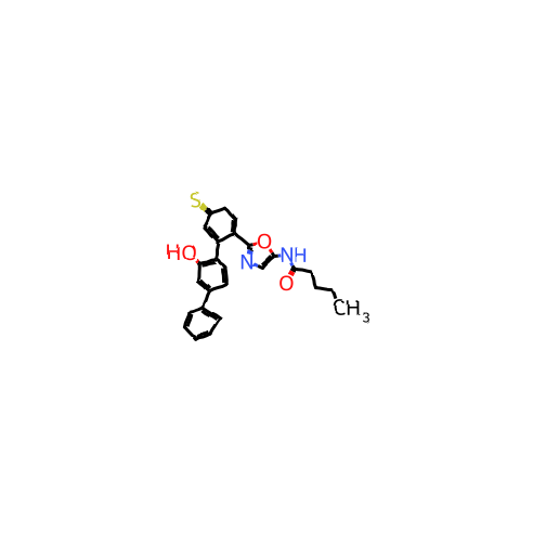 CCCCC(=O)Nc1cnc(C2=CCC(=S)C=C2c2ccc(-c3ccccc3)cc2O)o1